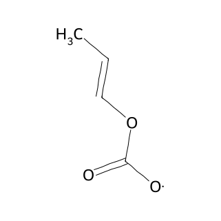 CC=COC([O])=O